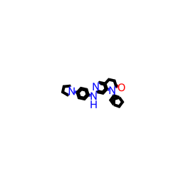 O=C1CCc2cnc(Nc3ccc(N4CCCC4)cc3)cc2N1C1CC2CCC1C2